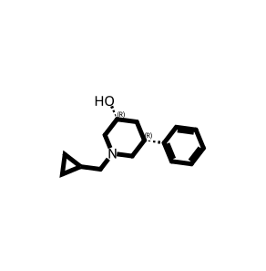 O[C@@H]1C[C@H](c2ccccc2)CN(CC2CC2)C1